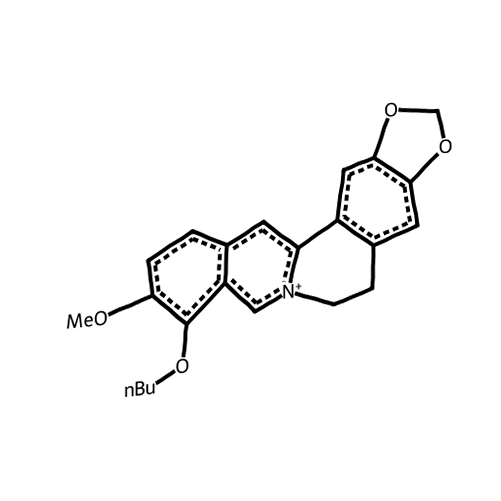 CCCCOc1c(OC)ccc2cc3[n+](cc12)CCc1cc2c(cc1-3)OCO2